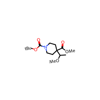 COC(=O)C1(C(C)OC)CCN(C(=O)OC(C)(C)C)CC1